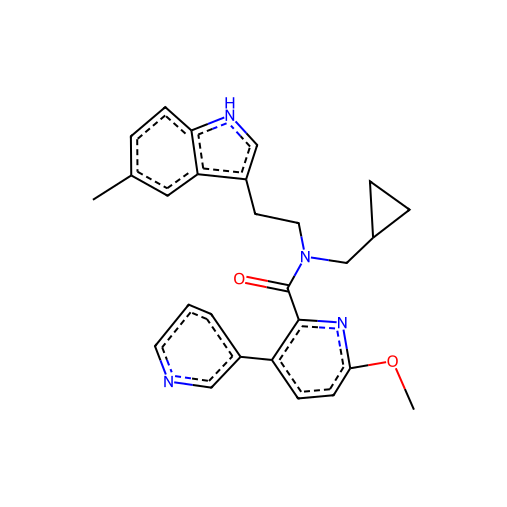 COc1ccc(-c2cccnc2)c(C(=O)N(CCc2c[nH]c3ccc(C)cc23)CC2CC2)n1